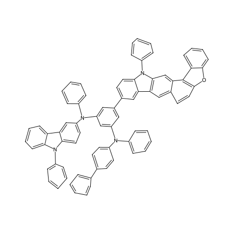 c1ccc(-c2ccc(N(c3ccccc3)c3cc(-c4ccc5c(c4)c4cc6ccc7oc8ccccc8c7c6cc4n5-c4ccccc4)cc(N(c4ccccc4)c4ccc5c(c4)c4ccccc4n5-c4ccccc4)c3)cc2)cc1